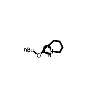 CCCCOc1cc2n(n1)CCCC2